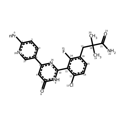 CCCc1ccc(-c2cc(=O)[nH]c(-c3c(Cl)ccc(CC(C)(C)C(N)=O)c3F)n2)cn1